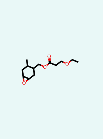 CCOCCC(=O)OCC1CC2OC2CC1C